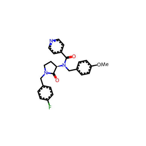 COc1ccc(CN(C(=O)c2ccncc2)[C@@H]2CCN(Cc3ccc(F)cc3)C2=O)cc1